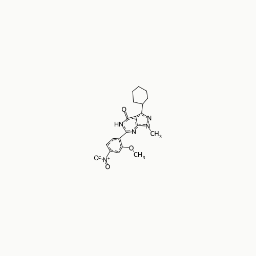 COc1cc([N+](=O)[O-])ccc1-c1nc2c(c(C3CCCCC3)nn2C)c(=O)[nH]1